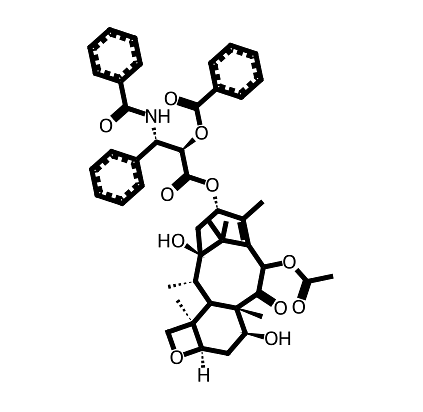 CC(=O)OC1C(=O)[C@@]2(C)C([C@H](C)[C@]3(O)C[C@H](OC(=O)[C@H](OC(=O)c4ccccc4)[C@@H](NC(=O)c4ccccc4)c4ccccc4)C(C)=C1C3(C)C)[C@]1(C)CO[C@@H]1C[C@@H]2O